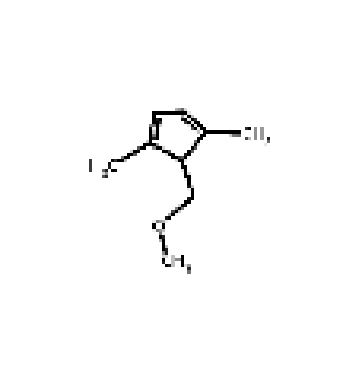 COCC1C(C)=CC=C1C